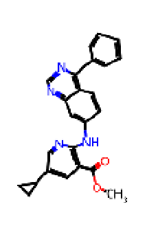 COC(=O)c1cc(C2CC2)cnc1Nc1ccc2c(-c3ccccc3)ncnc2c1